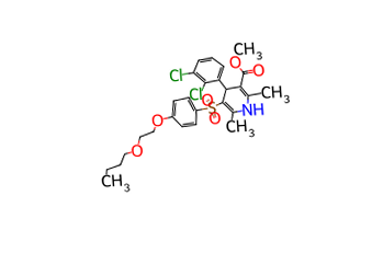 CCCCOCCOc1ccc(S(=O)(=O)C2=C(C)NC(C)=C(C(=O)OC)C2c2cccc(Cl)c2Cl)cc1